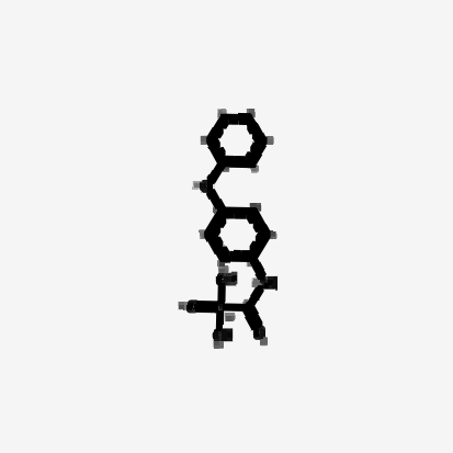 O=C(Nc1ccc(Oc2ccccc2)cc1)P(=O)(O)O